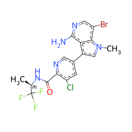 C[C@@H](NC(=O)c1ncc(-c2cn(C)c3c(Br)cnc(N)c23)cc1Cl)C(F)(F)F